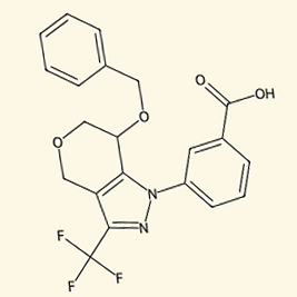 O=C(O)c1cccc(-n2nc(C(F)(F)F)c3c2C(OCc2ccccc2)COC3)c1